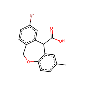 Cc1ccc2c(c1)C(C(=O)O)c1cc(Br)ccc1CO2